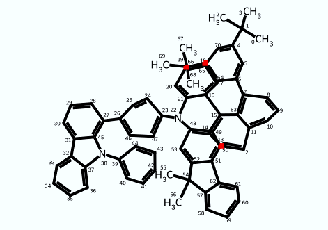 CC(C)(C)c1cc(-c2cccc3cccc(-c4ccccc4N(c4ccc(-c5cccc6c7ccccc7n(-c7ccccc7)c56)cc4)c4ccc5c(c4)C(C)(C)c4ccccc4-5)c23)cc(C(C)(C)C)c1